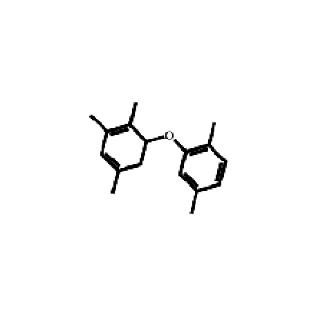 CC1=CC(C)=C(C)C(Oc2cc(C)ccc2C)C1